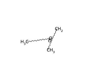 C=CCCCCCCC(CCCCCCCCC)OC(=O)CCCCCCCCCCCCCCCCC